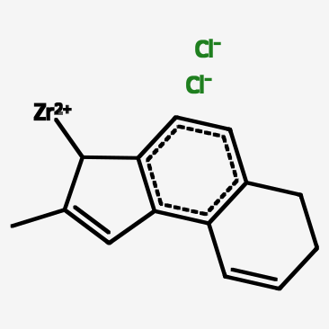 CC1=Cc2c(ccc3c2C=CCC3)[CH]1[Zr+2].[Cl-].[Cl-]